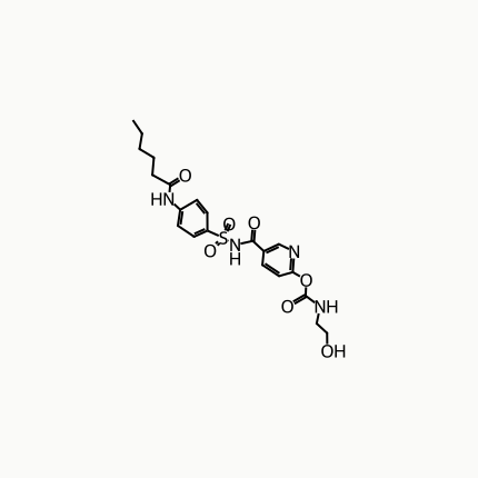 CCCCCC(=O)Nc1ccc(S(=O)(=O)NC(=O)c2ccc(OC(=O)NCCO)nc2)cc1